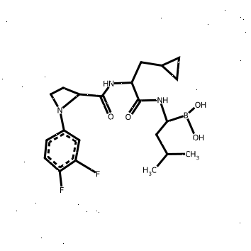 CC(C)CC(NC(=O)C(CC1CC1)NC(=O)C1CCN1c1ccc(F)c(F)c1)B(O)O